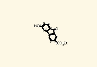 CCOC(=O)c1ccc2c(c1)C(=O)c1ccc(O)cc1-2